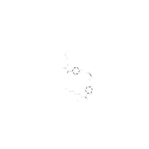 CCC(CCCCCC(=O)O)C(=O)c1ccc(OC/C=C\COc2ccc(C(=O)C(CC)CCCCCC(=O)O)cc2)cc1